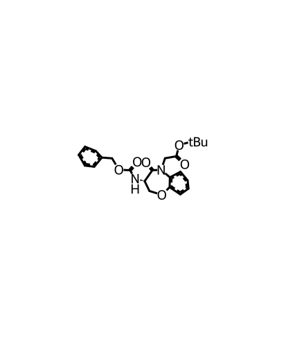 CC(C)(C)OC(=O)CN1C(=O)[C@@H](NC(=O)OCc2ccccc2)COc2ccccc21